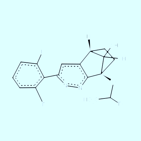 CCC(O[C@@]12CC[C@@H](c3cc(-c4c(F)cccc4F)nnc31)C2(C)C)C(=O)O